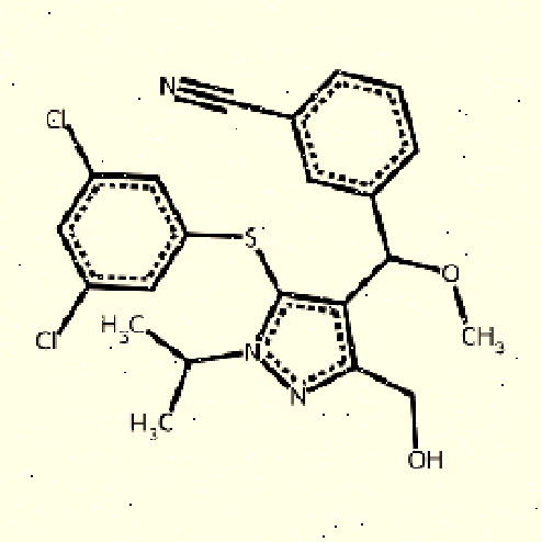 COC(c1cccc(C#N)c1)c1c(CO)nn(C(C)C)c1Sc1cc(Cl)cc(Cl)c1